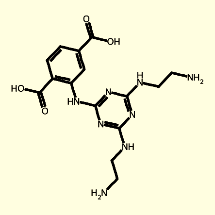 NCCNc1nc(NCCN)nc(Nc2cc(C(=O)O)ccc2C(=O)O)n1